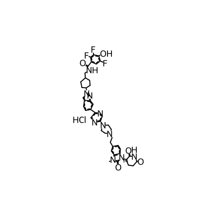 Cl.Cn1c(=O)n([C@@H]2CCC(=O)NC2=O)c2ccc(CCN3CCN(c4cnc(-c5ccc6cn(C7CCC(CNC(=O)c8cc(F)c(O)c(F)c8F)CC7)nc6c5)cn4)CC3)cc21